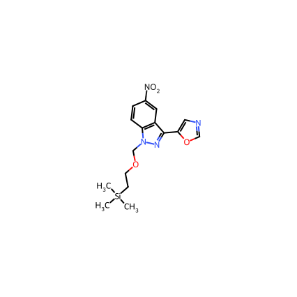 C[Si](C)(C)CCOCn1nc(-c2cnco2)c2cc([N+](=O)[O-])ccc21